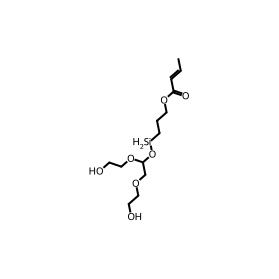 CC=CC(=O)OCCC[SiH2]OC(COCCO)OCCO